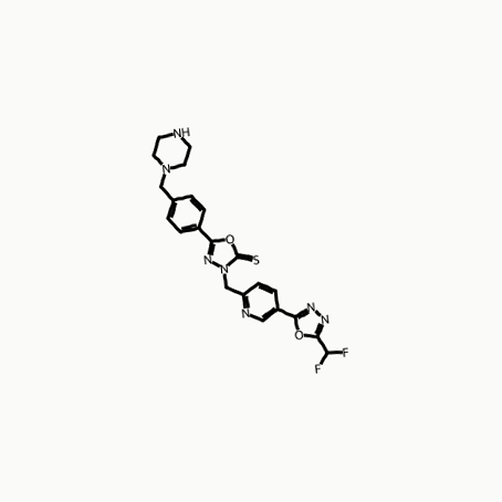 FC(F)c1nnc(-c2ccc(Cn3nc(-c4ccc(CN5CCNCC5)cc4)oc3=S)nc2)o1